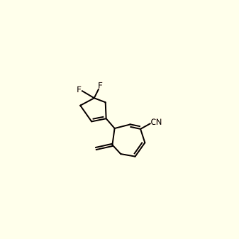 C=C1CC=CC(C#N)=CC1C1=CCC(F)(F)C1